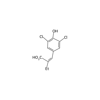 CCC(=Cc1cc(Cl)c(O)c(Cl)c1)C(=O)O